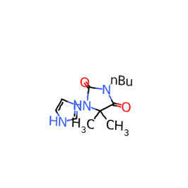 CCCCN1C(=O)NC(C)(C)C1=O.c1c[nH]cn1